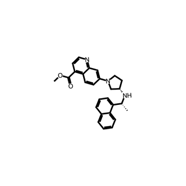 COC(=O)c1ccnc2cc(N3CC[C@H](N[C@H](C)c4cccc5ccccc45)C3)ccc12